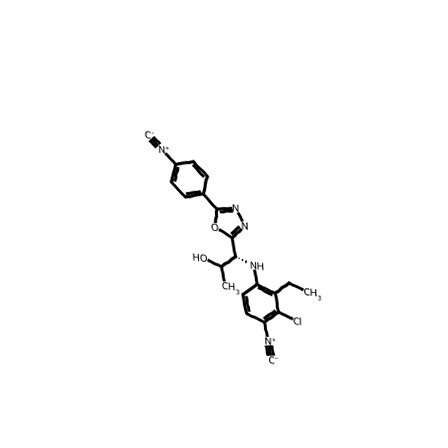 [C-]#[N+]c1ccc(-c2nnc([C@H](Nc3ccc([N+]#[C-])c(Cl)c3CC)C(C)O)o2)cc1